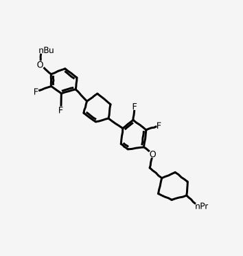 CCCCOc1ccc(C2C=CC(c3ccc(OCC4CCC(CCC)CC4)c(F)c3F)CC2)c(F)c1F